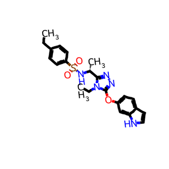 CCc1ccc(S(=O)(=O)N[C@H](C)c2nnc(Oc3ccc4cc[nH]c4c3)n2CC)cc1